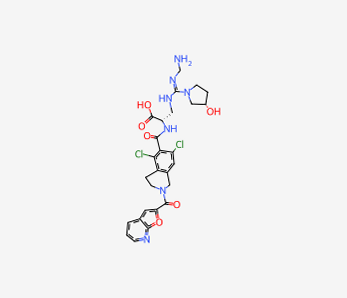 NC/N=C(/NC[C@H](NC(=O)c1c(Cl)cc2c(c1Cl)CCN(C(=O)c1cc3cccnc3o1)C2)C(=O)O)N1CC[C@H](O)C1